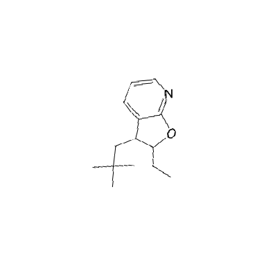 CCC1Oc2ncccc2C1CC(C)(C)C